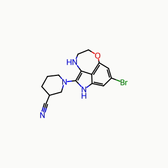 N#CC1CCCN(c2[nH]c3cc(Br)cc4c3c2NCCO4)C1